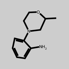 CC1CN(c2ccccc2N)CCO1